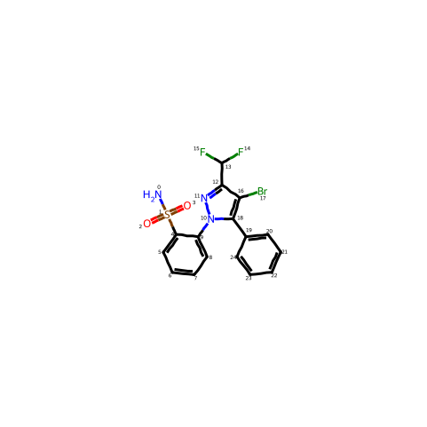 NS(=O)(=O)c1ccccc1-n1nc(C(F)F)c(Br)c1-c1ccccc1